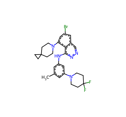 Cc1cc(Nc2nncc3cc(Br)cc(N4CCC5(CC4)CC5)c23)cc(N2CCC(F)(F)CC2)c1